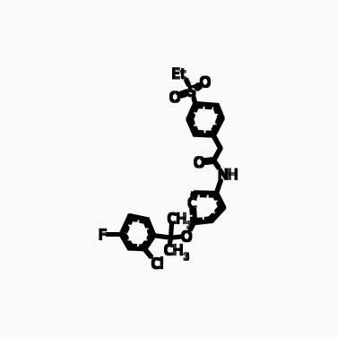 CCS(=O)(=O)c1ccc(CC(=O)Nc2ccc(OC(C)(C)c3ccc(F)cc3Cl)cc2)cc1